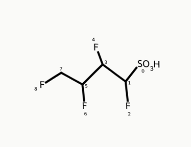 O=S(=O)(O)C(F)C(F)C(F)CF